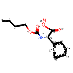 CCCCOC(=O)N[C@H](C(=O)O)c1ccccc1